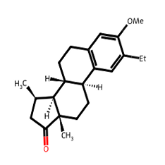 CCc1cc2c(cc1OC)CC[C@H]1[C@@H]3[C@H](C)CC(=O)[C@@]3(C)CC[C@H]21